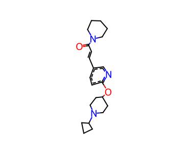 O=C(/C=C/c1ccc(OC2CCN(C3CCC3)CC2)nc1)N1CCCCC1